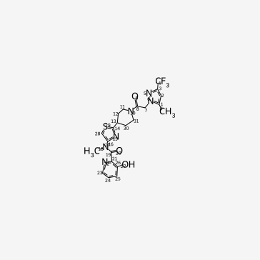 Cc1cc(C(F)(F)F)nn1CC(=O)N1CCC(c2nc(N(C)C(=O)c3ncccc3O)cs2)CC1